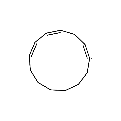 [C]1=CCC=CC=CCCCCCC1